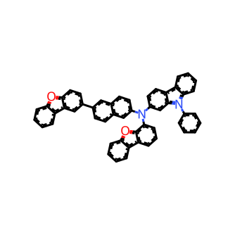 c1ccc(-n2c3ccccc3c3ccc(N(c4ccc5cc(-c6ccc7oc8ccccc8c7c6)ccc5c4)c4cccc5c4oc4ccccc45)cc32)cc1